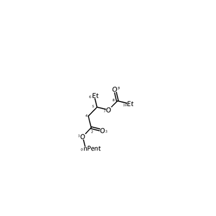 CCCCCOC(=O)CC(CC)OC(=O)CC